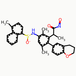 Cc1cc(N[S+]([O-])c2ccc(C)c3ccccc23)c(C)c(C(C)C(=O)N=O)c1-c1ccc2c(c1)CCCO2